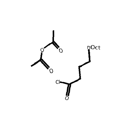 CC(=O)OC(C)=O.CCCCCCCCCCCC(=O)Cl